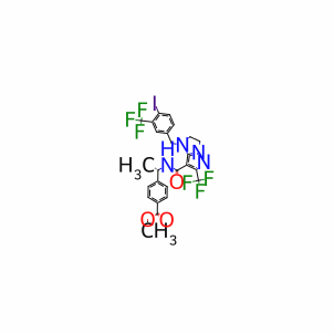 COC(=O)c1ccc([C@H](C)NC(=O)c2c(C(F)(F)F)nn3c2N(Cc2ccc(I)c(C(F)(F)F)c2)CC3)cc1